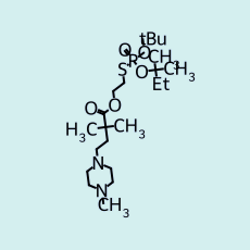 CCC(C)(C)OP(=O)(OC(C)(C)C)SCCOC(=O)C(C)(C)CCN1CCN(C)CC1